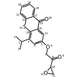 CC(C)c1cc(OCC(=O)C2CO2)cc2c(=O)c3ccccc3sc12